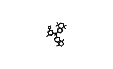 Cc1cc(Cl)cc(N(C2=CC=C3C(C2)C2(C)CCC3(C)C2)c2ccc3c(c2)C(C)(C)CCC3(C)C)c1